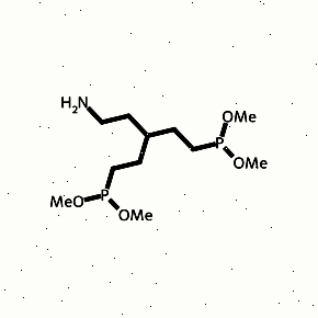 COP(CCC(CCN)CCP(OC)OC)OC